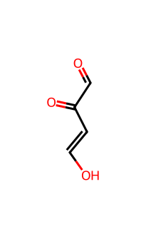 O=CC(=O)/C=C/O